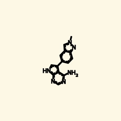 Cn1cc2cc(-c3c[nH]c4ncnc(N)c34)ccc2n1